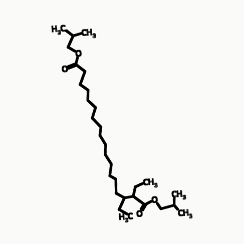 CCC(CCCCCCCCCCCCCCC(=O)OCC(C)C)C(CC)C(=O)OCC(C)C